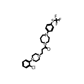 O=C(CCN1CCN(c2ccccc2Cl)CC1)N1CCCN(c2ccc(SC(F)(F)F)cc2)CC1